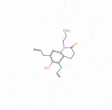 C=CCc1cc2c(c(CC=C)c1O)CCC(=O)N2CCOC(C)=O